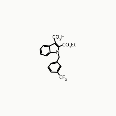 CCOC(=O)c1c(C(=O)O)c2ccccc2n1Cc1cccc(C(F)(F)F)c1